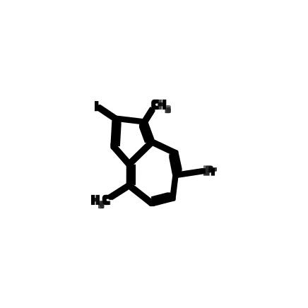 Cc1ccc(C(C)C)cc2c(C)c(I)cc1-2